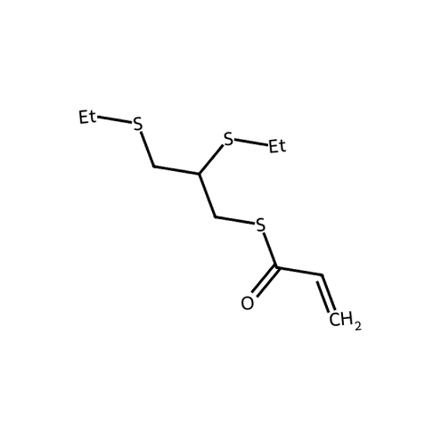 C=CC(=O)SCC(CSCC)SCC